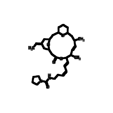 C/C=C1\CC2CC(=O)OC(/C=C/C=C\CCNC(=O)N3CCCC3)C(C)/C=C/C(C)CC3CCCC(CC(C1)O2)O3